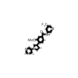 COc1cc(C(=O)Nc2cncc(C(F)(F)F)c2)ccc1C1CCN(c2cncnc2)C1